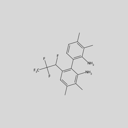 Cc1ccc(-c2c(C(F)C(F)(F)C(F)(F)F)cc(C)c(C)c2N)c(N)c1C